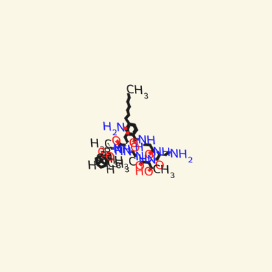 CCCCCCCCc1ccc(C(=O)NCCC(=O)N[C@@H](CCN)C(=O)N[C@H](C(=O)N[C@@H](C)C(=O)N[C@@H](CCCCN)C(=O)N[C@@H](C)B2OC3C[C@@H]4C[C@@H](C4(C)C)[C@]3(C)O2)[C@@H](C)O)cc1